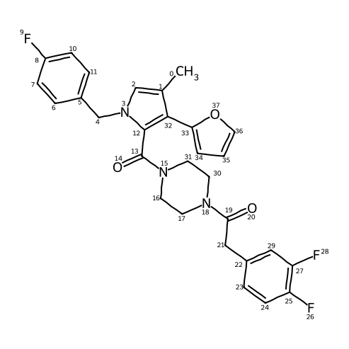 Cc1cn(Cc2ccc(F)cc2)c(C(=O)N2CCN(C(=O)Cc3ccc(F)c(F)c3)CC2)c1-c1ccco1